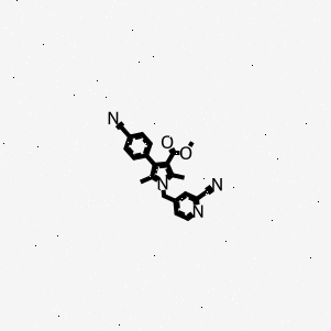 COC(=O)c1c(-c2ccc(C#N)cc2)c(C)n(Cc2ccnc(C#N)c2)c1C